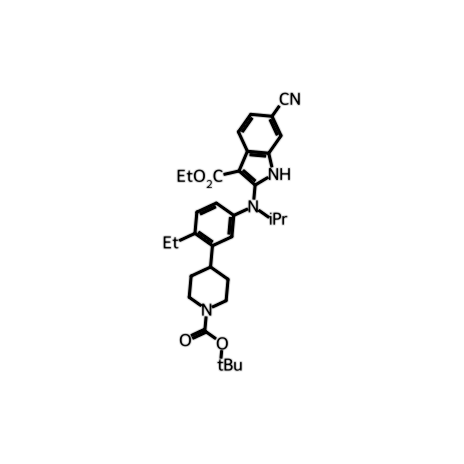 CCOC(=O)c1c(N(c2ccc(CC)c(C3CCN(C(=O)OC(C)(C)C)CC3)c2)C(C)C)[nH]c2cc(C#N)ccc12